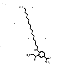 CCCCCCCCCCCCCCCCNc1ccc(C(N)=O)cc1C(Br)CC